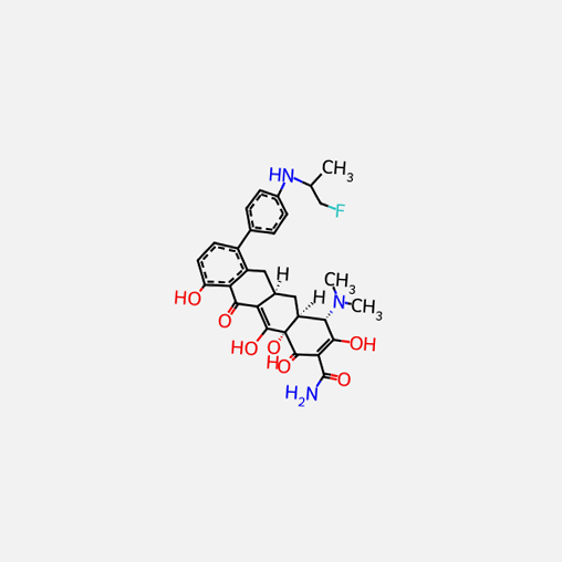 CC(CF)Nc1ccc(-c2ccc(O)c3c2C[C@H]2C[C@H]4[C@H](N(C)C)C(O)=C(C(N)=O)C(=O)[C@@]4(O)C(O)=C2C3=O)cc1